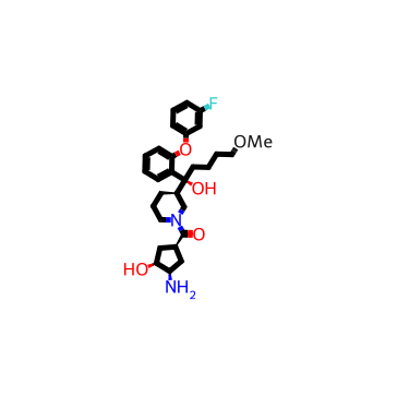 COCCCC[C@@](O)(c1ccccc1Oc1cccc(F)c1)[C@@H]1CCCN(C(=O)[C@H]2C[C@@H](N)[C@@H](O)C2)C1